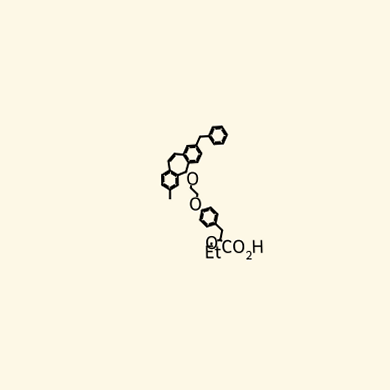 CCOC(Cc1ccc(OCCOC2c3ccc(Cc4ccccc4)cc3C=Cc3ccc(C)cc32)cc1)C(=O)O